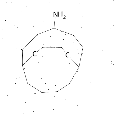 NC1CCC2CCCCC(CCCC2)CC1